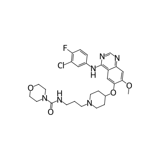 COc1cc2ncnc(Nc3ccc(F)c(Cl)c3)c2cc1OC1CCN(CCCNC(=O)N2CCOCC2)CC1